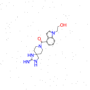 N=C1NCC2(CCN(C(=O)c3cccc4c3ccn4CCO)CC2)N1